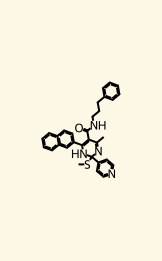 CSC1(c2ccncc2)N=C(C)C(C(=O)NCCCc2ccccc2)=C(c2ccc3ccccc3c2)N1